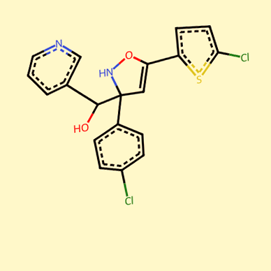 OC(c1cccnc1)C1(c2ccc(Cl)cc2)C=C(c2ccc(Cl)s2)ON1